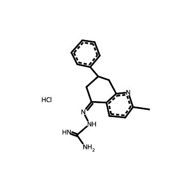 Cc1ccc2c(n1)CC(c1ccccc1)C/C2=N/NC(=N)N.Cl